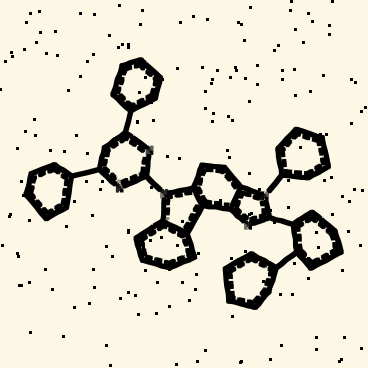 c1ccc(-c2cc(-c3ccccc3)nc(-n3c4ccccc4c4c5nc(-c6ccccc6-c6ccccc6)n(-c6ccccc6)c5ccc43)n2)cc1